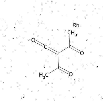 CC(=O)C(=C=O)C(C)=O.[Rh]